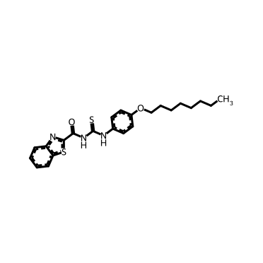 CCCCCCCCOc1ccc(NC(=S)NC(=O)c2nc3ccccc3s2)cc1